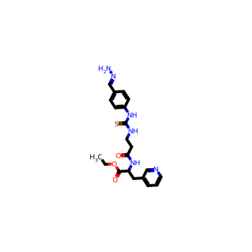 CCOC(=O)C(Cc1cccnc1)NC(=O)CCNC(=S)Nc1ccc(C=NN)cc1